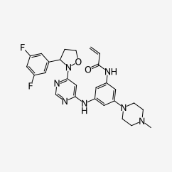 C=CC(=O)Nc1cc(Nc2cc(N3OCCC3c3cc(F)cc(F)c3)ncn2)cc(N2CCN(C)CC2)c1